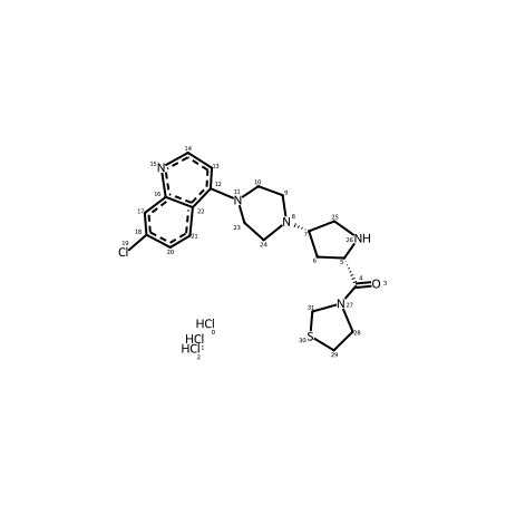 Cl.Cl.Cl.O=C([C@@H]1C[C@H](N2CCN(c3ccnc4cc(Cl)ccc34)CC2)CN1)N1CCSC1